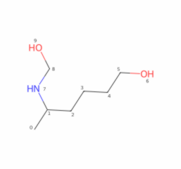 CC(CCCCO)NCO